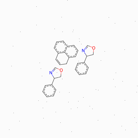 C1=Cc2cccc3cccc(c23)C1.C1=NC(c2ccccc2)CO1.C1=NC(c2ccccc2)CO1